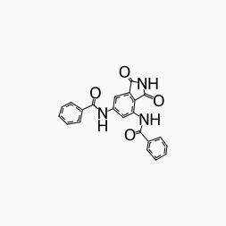 O=C(Nc1cc(NC(=O)c2ccccc2)c2c(c1)C(=O)NC2=O)c1ccccc1